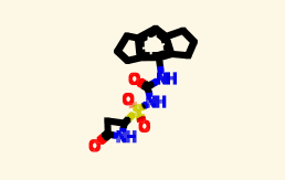 O=C1CC(S(=O)(=O)NC(=O)Nc2c3c(cc4c2CCC4)CCC3)N1